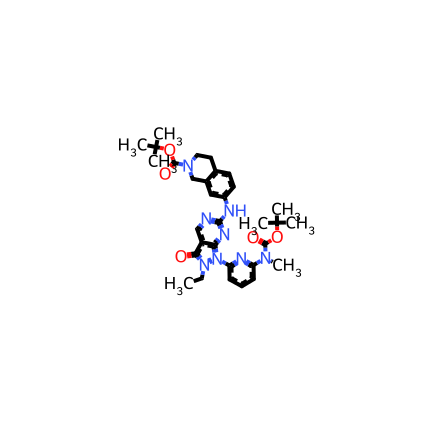 CCn1c(=O)c2cnc(Nc3ccc4c(c3)CN(C(=O)OC(C)(C)C)CC4)nc2n1-c1cccc(N(C)C(=O)OC(C)(C)C)n1